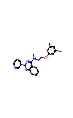 Cc1cc(C)cc(OCCN(C)c2nc(-c3cccnc3)nc3ccccc23)c1